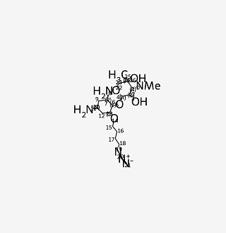 CN[C@@H]1[C@@H](O)[C@@H](O[C@H]2[C@H](N)C[C@H](N)C[C@@H]2OCCCCN=[N+]=[N-])OC[C@]1(C)O